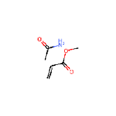 C=CC(=O)OC.CC(N)=O